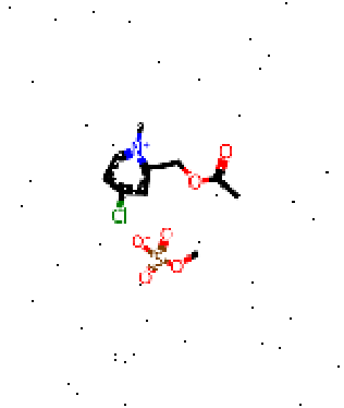 CC(=O)OCc1cc(Cl)cc[n+]1C.COS(=O)(=O)[O-]